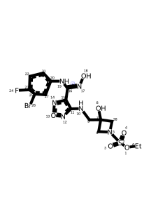 CCOS(=O)(=O)N1CC(O)(CNc2nonc2/C(=N/O)Nc2ccc(F)c(Br)c2)C1